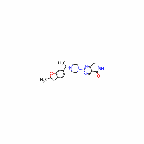 CC1Cc2ccc(C(C)N3CCN(c4ncc5c(n4)CCNC5=O)CC3)cc2O1